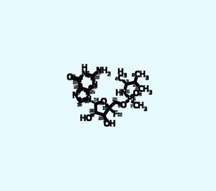 CC(C)[C@H](C)NP(C)(=O)OC[C@@]1(F)O[C@@H](n2cnc3c(=O)[nH]c(N)nc32)[C@@H](O)C1O